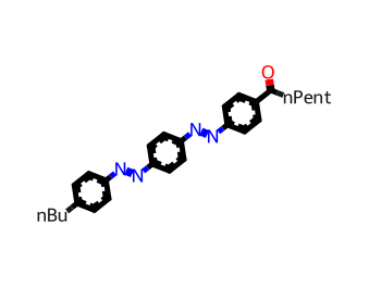 CCCCCC(=O)c1ccc(N=Nc2ccc(N=Nc3ccc(CCCC)cc3)cc2)cc1